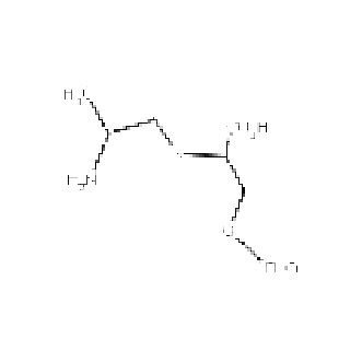 CC(N)CSC(COC=O)C(=O)O